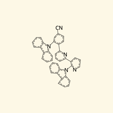 N#Cc1ccc(-c2cccc(-c3cccnc3-n3c4ccccc4c4ccccc43)n2)c(-n2c3ccccc3c3ccccc32)c1